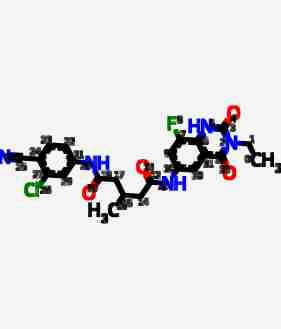 CCn1c(=O)[nH]c2c(F)cc(NC(=O)CC(C)CC(=O)Nc3ccc(C#N)c(Cl)c3)cc2c1=O